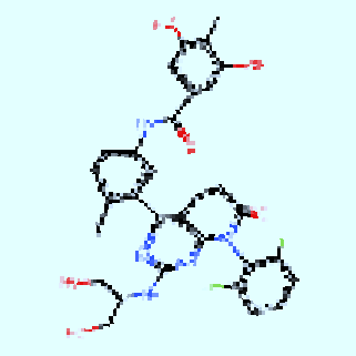 Cc1ccc(NC(=O)c2cc(O)c(C)c(O)c2)cc1-c1nc(NC(CO)CO)nc2c1ccc(=O)n2-c1c(F)cccc1F